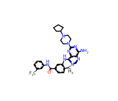 Cc1ccc(C(=O)Nc2cccc(C(F)(F)F)c2)cc1Nc1ncnc2c(N)nc(N3CCN(C4CCCC4)CC3)nc12